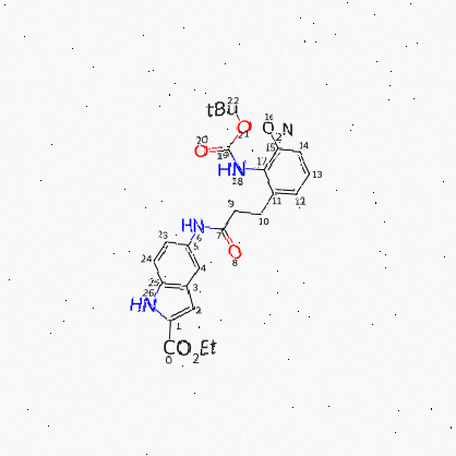 CCOC(=O)c1cc2cc(NC(=O)CCc3cccc([N+](=O)[O-])c3NC(=O)OC(C)(C)C)ccc2[nH]1